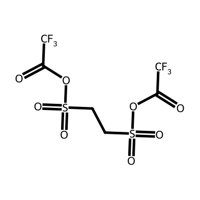 O=C(OS(=O)(=O)CCS(=O)(=O)OC(=O)C(F)(F)F)C(F)(F)F